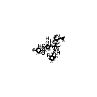 Cc1nc(NCc2c(F)cccc2F)nc(N[C@@H]2C[C@H](CS(=O)(=O)c3ccc(F)cc3)[C@@H](O)[C@H]2O)c1-c1nc2c(C3CC3)nccc2s1